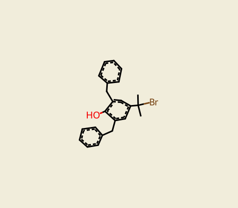 CC(C)(Br)c1cc(Cc2ccccc2)c(O)c(Cc2ccccc2)c1